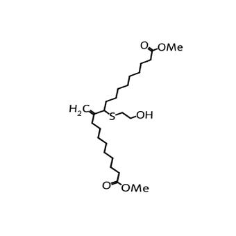 C=C(CCCCCCCCC(=O)OC)C(CCCCCCCCC(=O)OC)SCCO